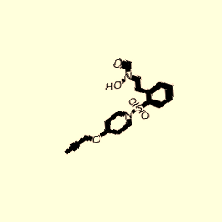 CC#CCOC1CCN(S(=O)(=O)c2ccccc2CCN(O)C=O)CC1